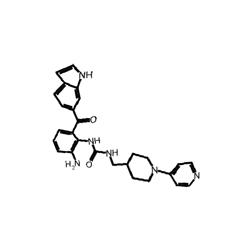 Nc1cccc(C(=O)c2ccc3cc[nH]c3c2)c1NC(=O)NCC1CCN(c2ccncc2)CC1